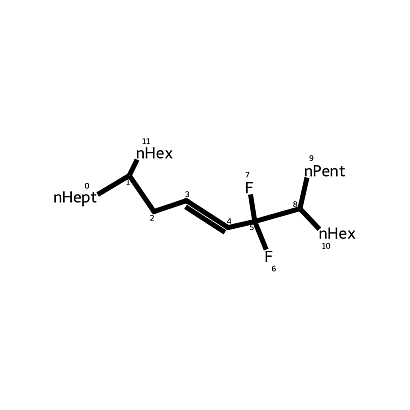 CCCCCCCC(C/C=C/C(F)(F)C(CCCCC)CCCCCC)CCCCCC